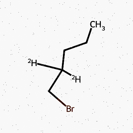 [2H]C([2H])(CBr)CCC